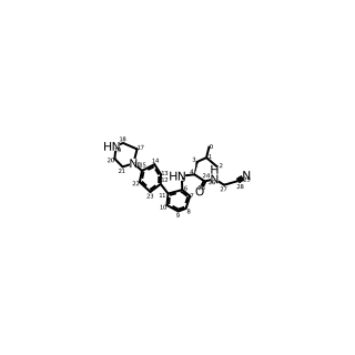 CC(C)C[C@H](Nc1ccccc1-c1ccc(N2CCNCC2)cc1)C(=O)NCC#N